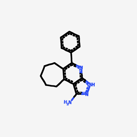 Nc1n[nH]c2nc(-c3ccccc3)c3c(c12)CCCCC3